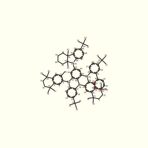 Cc1cc2c(cc1N1c3ccc(C(C)(C)C)cc3B3c4cc5c(cc4N(c4ccc(C(C)(C)C)cc4-c4ccccc4)c4cc(N6c7ccc(C(C)(C)C)cc7C7(C)CCCCC67C)cc1c43)C(C)(C)CCC5(C)C)C(C)(C)CCC2(C)C